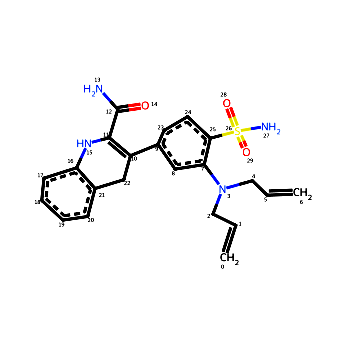 C=CCN(CC=C)c1cc(C2=C(C(N)=O)Nc3ccccc3C2)ccc1S(N)(=O)=O